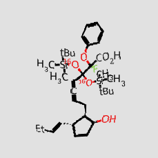 CCC=C[C@H]1CC[C@H](O)[C@@H]1CC=C=CC([16O][Si](C)(C)C(C)(C)C)([16O][Si](C)(C)C(C)(C)C)C(F)(Oc1ccccc1)C(=O)O